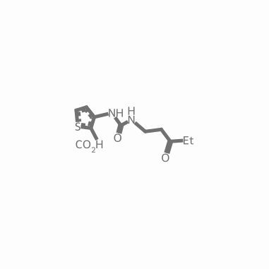 CCC(=O)CCNC(=O)Nc1ccsc1C(=O)O